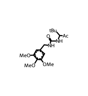 COc1cc(CNC(=O)NC(C(C)=O)C(C)(C)C)cc(OC)c1OC